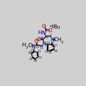 CN1CC(NC(=O)OC(C)(C)C)C(=O)N(CC(=O)N(C)c2ccccc2)c2ccccc21